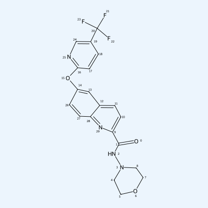 O=C(NN1CCOCC1)c1ccc2cc(Oc3ccc(C(F)(F)F)cn3)ccc2n1